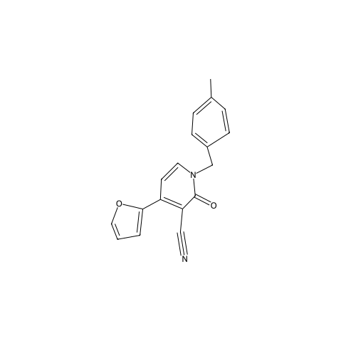 Cc1ccc(Cn2ccc(-c3ccco3)c(C#N)c2=O)cc1